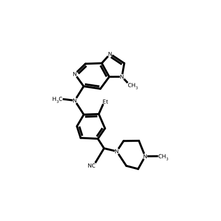 CCc1cc(C(C#N)N2CCN(C)CC2)ccc1N(C)c1cc2c(cn1)ncn2C